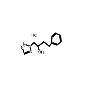 Cl.OC(CCc1ccccc1)Cn1ncnn1